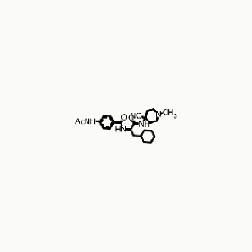 CC(=O)Nc1ccc(C(=O)NC(CC2CCCCC2)C(=O)NC2(C#N)CCN(C)CC2)cc1